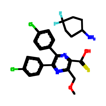 COCc1nc(-c2ccc(Cl)cc2)c(-c2ccc(Cl)cc2)nc1C(O)=S.NC1CCC(F)(F)CC1